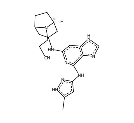 Cc1cc(Nc2nc(NC3CC4CC[C@@H](C3)N4CCC#N)cc3[nH]cnc23)n[nH]1